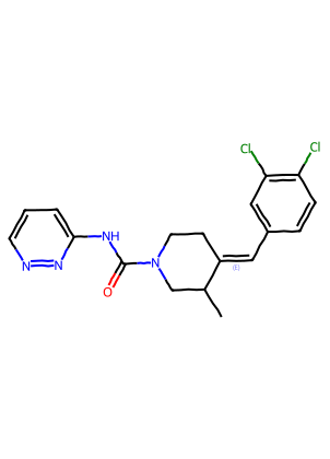 CC1CN(C(=O)Nc2cccnn2)CC/C1=C\c1ccc(Cl)c(Cl)c1